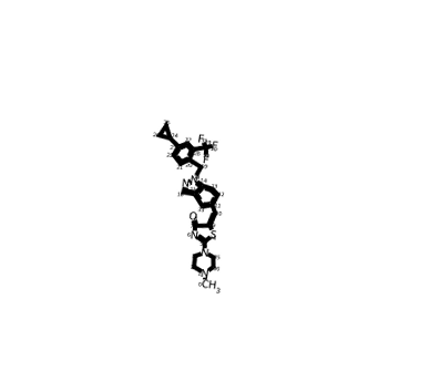 CN1CCN(C2=NC(=O)C(=Cc3ccc4c(cnn4Cc4ccc(C5CC5)cc4C(F)(F)F)c3)S2)CC1